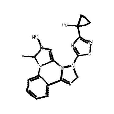 N#CN1C=C2N(c3ccccc3C3=NCN(c4nc(C5(O)CC5)no4)N23)C1F